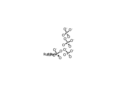 O=P([O-])([O-])[O-].O=P([O-])([O-])[O-].O=P([O-])([O-])[O-].O=P([O-])([O-])[O-].[Ru+4].[Ru+4].[Ru+4]